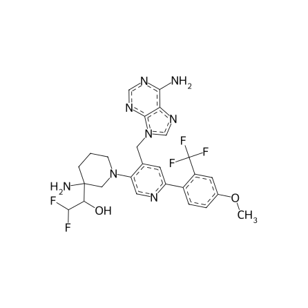 COc1ccc(-c2cc(Cn3cnc4c(N)ncnc43)c(N3CCCC(N)(C(O)C(F)F)C3)cn2)c(C(F)(F)F)c1